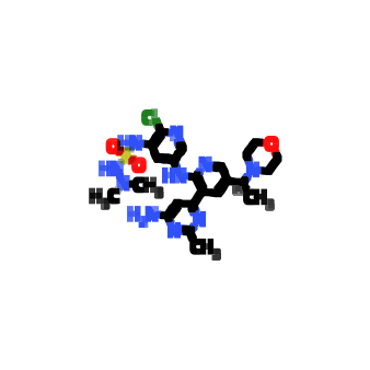 Cc1nc(N)cc(-c2cc([C@H](C)N3CCOCC3)cnc2Nc2cnc(Cl)c(NS(=O)(=O)NN(C)C)c2)n1